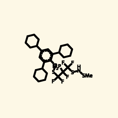 CSNSC(F)(F)C(F)(P)C(F)(F)SOc1c(C2CCCCC2)cc(C2CCCCC2)cc1C1CCCCC1